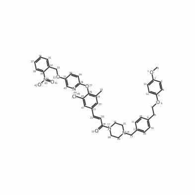 COc1ccc(OCCc2ccc(CN3CCN(C(=O)C=Cc4cc(C)c(Oc5ccc(OCc6ccccc6[N+](=O)[O-])cn5)c(Cl)c4)CC3)cc2)cc1